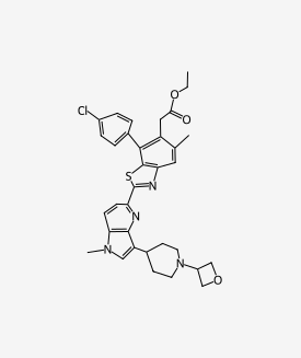 CCOC(=O)Cc1c(C)cc2nc(-c3ccc4c(n3)c(C3CCN(C5COC5)CC3)cn4C)sc2c1-c1ccc(Cl)cc1